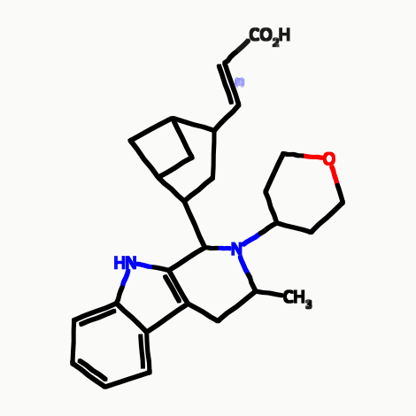 CC1Cc2c([nH]c3ccccc23)C(C2CC(/C=C/C(=O)O)C3CC2C3)N1C1CCOCC1